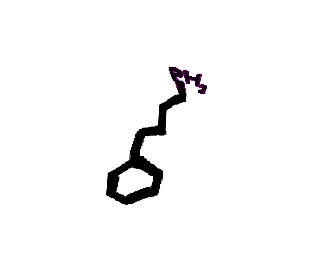 PCCCCc1ccccc1